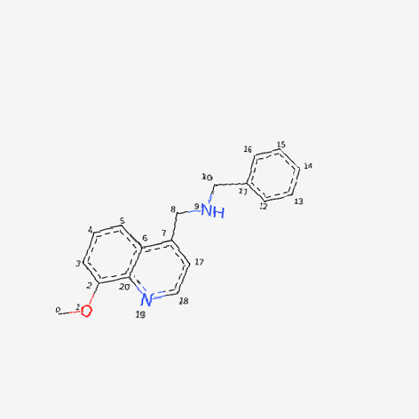 COc1cccc2c(CNCc3ccccc3)ccnc12